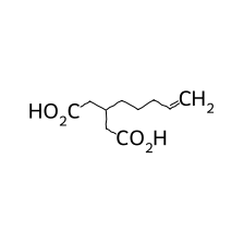 C=CCCCC(CC(=O)O)CC(=O)O